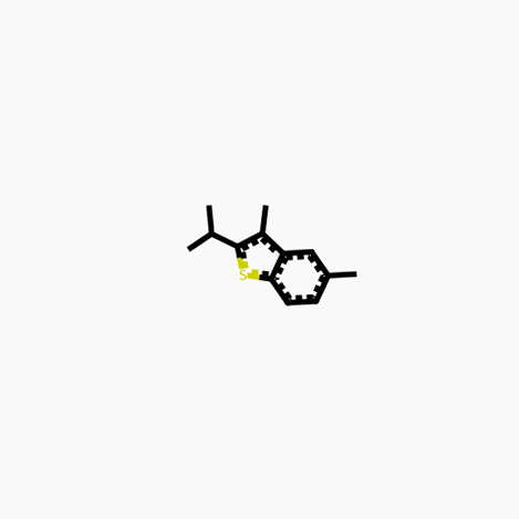 Cc1ccc2sc(C(C)C)c(C)c2c1